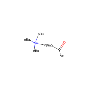 CC(=O)OC(=O)C(C)=O.CCCC[N+](CCCC)(CCCC)CCCC